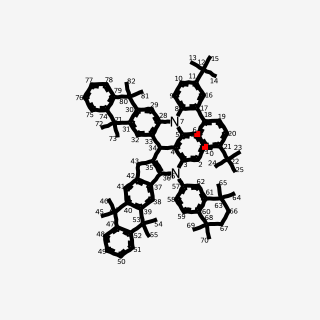 Cc1cc2c3c(c1)N(c1ccc(C(C)(C)C)cc1-c1ccc(C(C)(C)C)cc1)c1cc4c(cc1C3C1=C(c3cc5c(cc3C1)C(C)(C)c1ccccc1C5(C)C)N2c1ccc2c(c1)C(C)(C)CCC2(C)C)C(C)(C)c1ccccc1C4(C)C